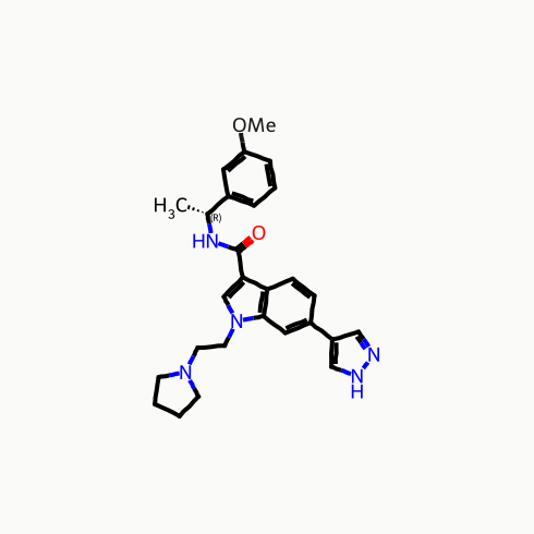 COc1cccc([C@@H](C)NC(=O)c2cn(CCN3CCCC3)c3cc(-c4cn[nH]c4)ccc23)c1